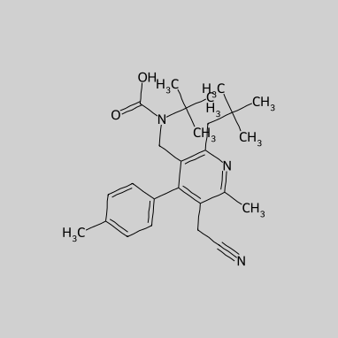 Cc1ccc(-c2c(CC#N)c(C)nc(CC(C)(C)C)c2CN(C(=O)O)C(C)(C)C)cc1